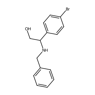 OCC(NCc1ccccc1)c1ccc(Br)cc1